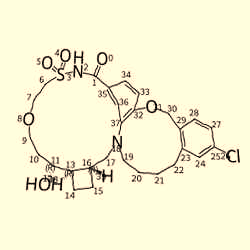 O=C1NS(=O)(=O)CCOCC[C@@H](O)[C@@H]2CC[C@H]2CN2CCCCc3cc(Cl)ccc3COc3ccc1cc32